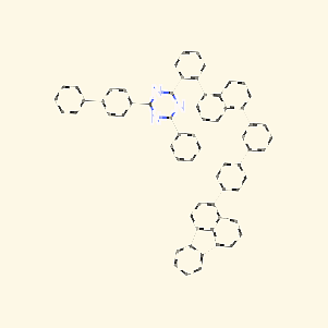 c1ccc(-c2ccc(-c3nc(-c4ccccc4)nc(-c4ccccc4-c4cccc5c(-c6cccc(-c7ccc(-c8ccc9c%10c(cccc8%10)-c8ccccc8-9)cc7)c6)cccc45)n3)cc2)cc1